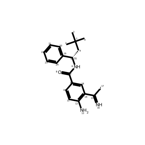 CC(C)(C)C[C@H](NC(=O)c1ccc(N)c(C(=N)I)c1)c1ccccc1